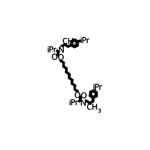 CC(/C=N/C(C(=O)OCCCCCCCCCCCCOC(=O)C(/N=C/C(C)Cc1ccc(C(C)C)cc1)C(C)C)C(C)C)Cc1ccc(C(C)C)cc1